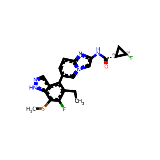 CCc1c(F)c(SC)c2[nH]ncc2c1-c1ccc2nc(NC(=O)[C@@H]3C[C@@H]3F)cn2c1